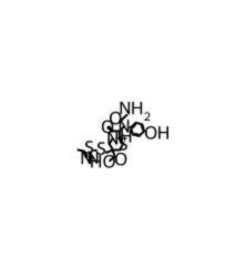 Cc1nnc(SCC2(C(=O)O)CS[C@@H]3C(N(C(=O)CN)c4ccc(O)cc4)C(=O)N3C2)s1